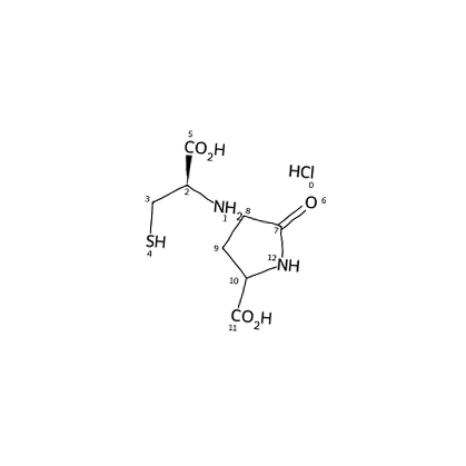 Cl.N[C@@H](CS)C(=O)O.O=C1CCC(C(=O)O)N1